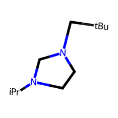 CC(C)N1CCN(CC(C)(C)C)C1